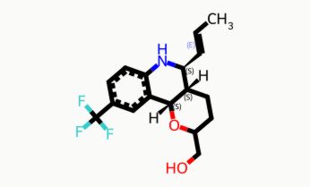 C/C=C/[C@@H]1Nc2ccc(C(F)(F)F)cc2[C@H]2OC(CO)CC[C@@H]12